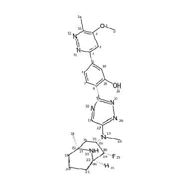 COc1cc(-c2ccc(-c3ncc(N(C)[C@H]4C[C@]5(C)CCC[C@@H](N5)[C@H]4F)nn3)c(O)c2)nnc1C